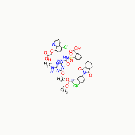 CCOC(=O)/C(Cl)=C/c1cc(N2C(=O)C3=C(CCCC3)C2=O)ccc1Cl.CCOc1nc(NC)nc(NC(=O)NS(=O)(=O)c2ccccc2C(=O)O)n1.O=C(O)COc1ccc(Cl)c2cccnc12